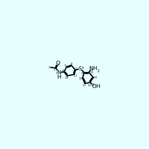 CC(=O)Nc1ccc(Sc2ccc(O)cc2N)cc1